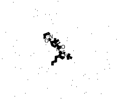 CCCCc1cn(C(C)(C)C)s/c1=N\C(=O)[C@]1(C)CC[C@H](C2=NCCCO2)C1(C)C